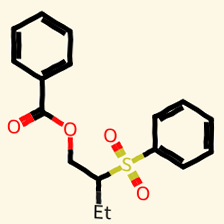 CCC(COC(=O)c1ccccc1)S(=O)(=O)c1ccccc1